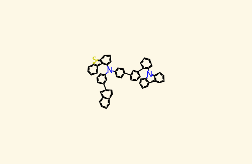 c1cc(-c2ccc(N(c3cccc(-c4ccc5ccccc5c4)c3)c3cccc4sc5ccccc5c34)cc2)cc(-c2ccccc2-n2c3ccccc3c3ccccc32)c1